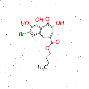 CCCCOC(=O)c1cc(O)c(=O)c2c(O)c(O)c(Br)cc2c1